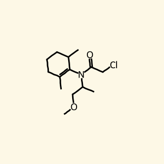 COCC(C)N(C(=O)CCl)C1=C(C)CCCC1C